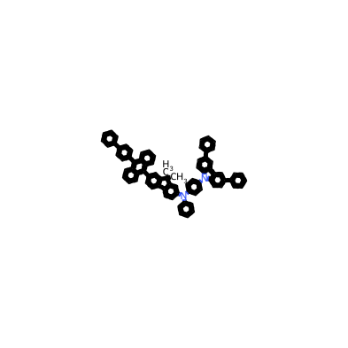 CC1(C)c2cc(-c3c4ccccc4c(-c4ccc(-c5ccccc5)cc4)c4ccccc34)ccc2-c2ccc(N(c3ccccc3)c3ccc(-n4c5ccc(-c6ccccc6)cc5c5cc(-c6ccccc6)ccc54)cc3)cc21